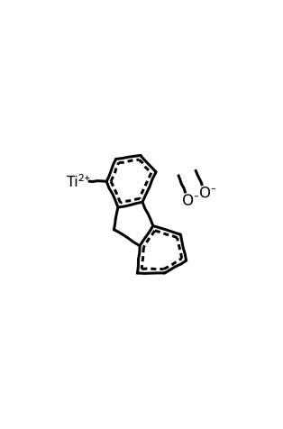 C[O-].C[O-].[Ti+2][c]1cccc2c1Cc1ccccc1-2